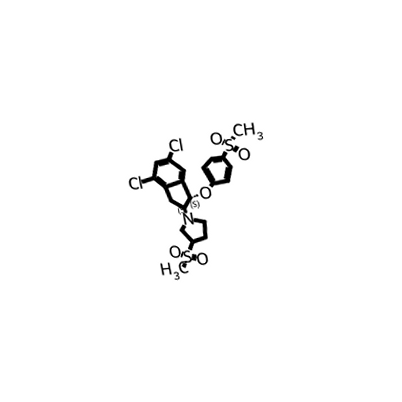 CS(=O)(=O)c1ccc(O[C@H]2c3cc(Cl)cc(Cl)c3C[C@@H]2N2CCC(S(C)(=O)=O)C2)cc1